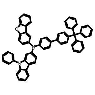 c1ccc(-n2c3ccccc3c3ccc(N(c4ccc(-c5ccc(C(c6ccccc6)(c6ccccc6)c6ccccc6)cc5)cc4)c4ccc5oc6ccccc6c5c4)cc32)cc1